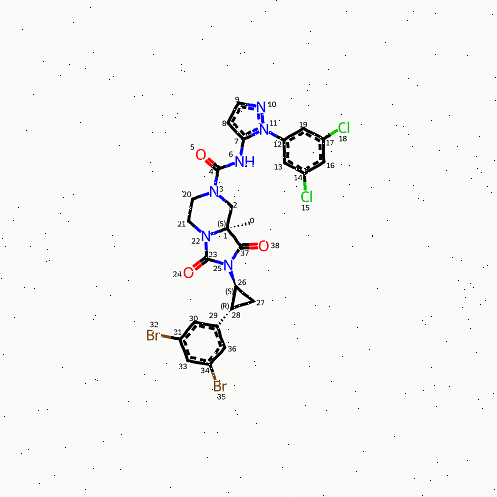 C[C@@]12CN(C(=O)Nc3ccnn3-c3cc(Cl)cc(Cl)c3)CCN1C(=O)N([C@H]1C[C@@H]1c1cc(Br)cc(Br)c1)C2=O